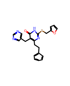 O=c1[nH]c(SCc2ccco2)nc(CCc2ccccc2)c1Cc1cncnc1